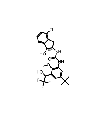 COc1c(NC(=O)N[C@@H]2Cc3c(Cl)cccc3[C@@H]2O)cc(C(C)(C)C)cc1C(O)C(F)(F)F